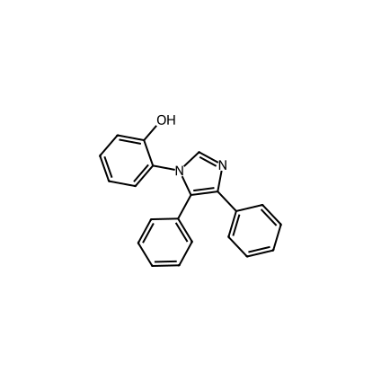 Oc1ccccc1-n1cnc(-c2ccccc2)c1-c1ccccc1